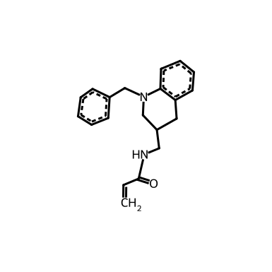 C=CC(=O)NCC1Cc2ccccc2N(Cc2ccccc2)C1